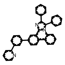 c1ccc(-c2nc3c4cc(-c5cccc(-c6ccccn6)c5)ccc4c4ccccc4n3c2-c2ccccc2)cc1